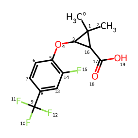 CC1(C)C(Oc2ccc(C(F)(F)F)cc2F)C1C(=O)O